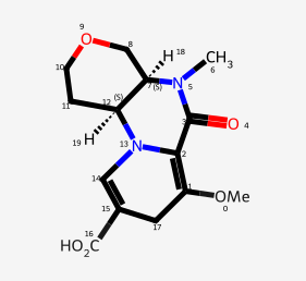 COC1=C2C(=O)N(C)[C@@H]3COCC[C@@H]3N2C=C(C(=O)O)C1